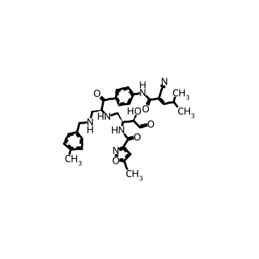 Cc1ccc(CNC[C@H](NC[C@H](NC(=O)c2cc(C)on2)[C@@H](O)C=O)C(=O)c2ccc(NC(=O)C(C#N)=CC(C)C)cc2)cc1